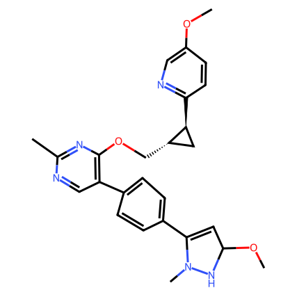 COc1ccc([C@H]2C[C@@H]2COc2nc(C)ncc2-c2ccc(C3=CC(OC)NN3C)cc2)nc1